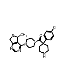 C[C@@H]1SCc2ncnc(N3CCN(C(=O)C4(c5ccc(Cl)cc5)CCNCC4)CC3)c21